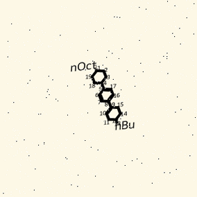 CCCCCCCCC1CCC(c2ccc(C3=CCC(CCCC)CC3)cc2)CC1